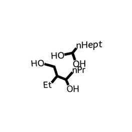 CCCC(O)C(CC)CO.CCCCCCCC(O)O